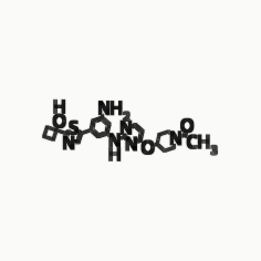 CC(=O)N1CCC(Oc2ccnc(Nc3cc(N)cc(-c4cnc(C5(O)CCC5)s4)c3)n2)CC1